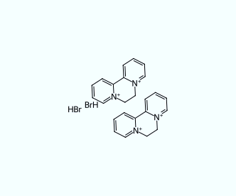 Br.Br.c1cc[n+]2c(c1)-c1cccc[n+]1CC2.c1cc[n+]2c(c1)-c1cccc[n+]1CC2